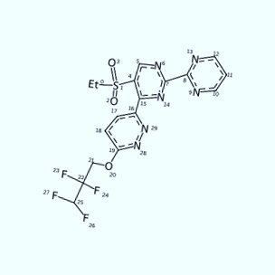 CCS(=O)(=O)c1cnc(-c2ncccn2)nc1-c1ccc(OCC(F)(F)C(F)F)nn1